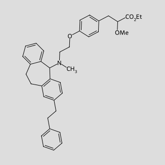 CCOC(=O)C(Cc1ccc(OCCN(C)C2c3ccccc3CCc3cc(CCc4ccccc4)ccc32)cc1)OC